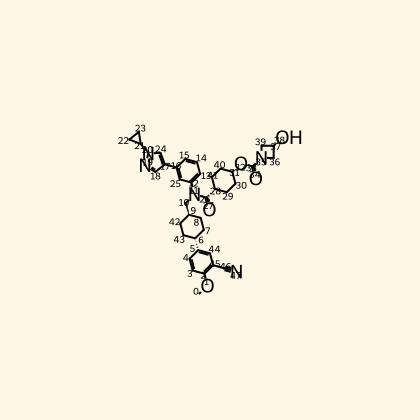 COc1ccc([C@H]2CC[C@H](CN(c3cccc(-c4cnn(C5CC5)c4)c3)C(=O)[C@H]3CC[C@H](OC(=O)N4CC(O)C4)CC3)CC2)cc1C#N